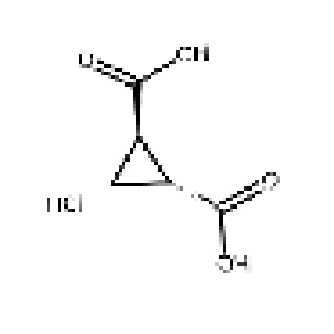 Cl.O=C(O)[C@@H]1C[C@H]1C(=O)O